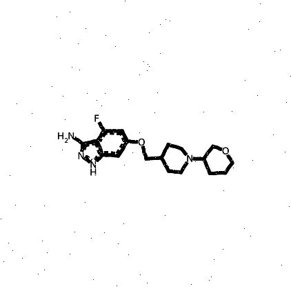 Nc1n[nH]c2cc(OCC3CCN(C4CCCOC4)CC3)cc(F)c12